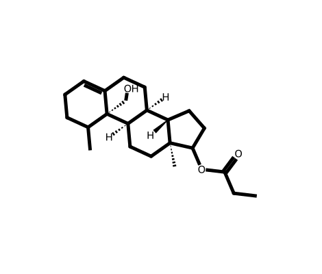 CCC(=O)OC1CC[C@H]2[C@@H]3CCC4=CCCC(C)[C@]4(CO)[C@@H]3CC[C@]12C